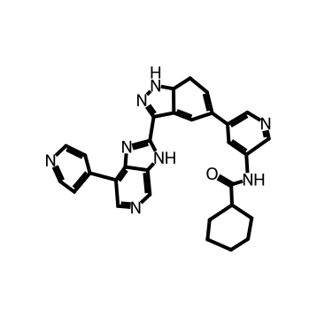 O=C(Nc1cncc(C2=CCC3NN=C(c4nc5c(-c6ccncc6)cncc5[nH]4)C3=C2)c1)C1CCCCC1